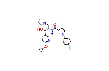 O=C(N[C@H](CN1CCCC1)[C@H](O)c1ccc(OC2CC2)nc1)[C@H]1CCN(c2ccc(F)cc2)C1